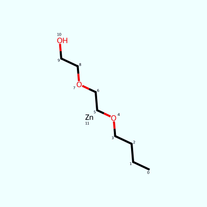 CCCCOCCOCCO.[Zn]